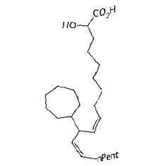 CCCCC/C=C\C(/C=C\CCCCCCC(O)C(=O)O)C1CCCCCC1